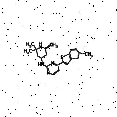 C=C1CC(Nc2nccc(-c3cc4cc(C)ccc4s3)n2)CC(C)(C)N1